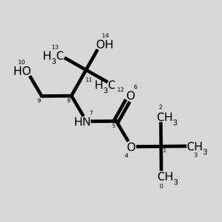 CC(C)(C)OC(=O)NC(CO)C(C)(C)O